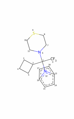 FC(F)(F)C(C1CCC1)(N1CCSCC1)n1c2ccc1cc2